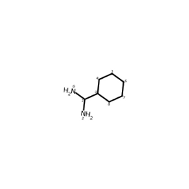 NC(N)C1CCCCC1